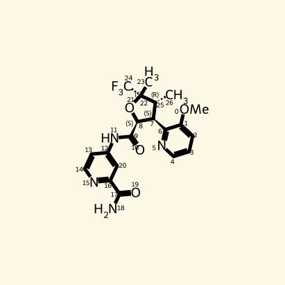 COc1cccnc1[C@H]1[C@@H](C(=O)Nc2ccnc(C(N)=O)c2)O[C@](C)(C(F)(F)F)[C@@H]1C